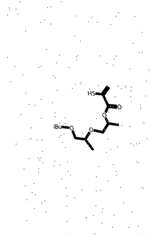 C=C(S)C(=O)OC(C)COC(C)COC(C)CC